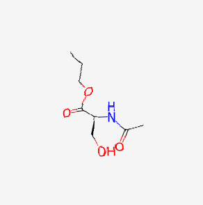 CCCOC(=O)[C@H](CO)NC(C)=O